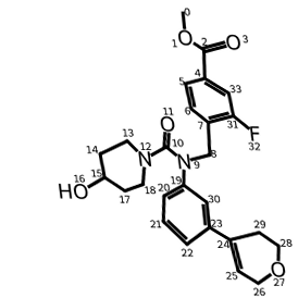 COC(=O)c1ccc(CN(C(=O)N2CCC(O)CC2)c2cccc(C3=CCOCC3)c2)c(F)c1